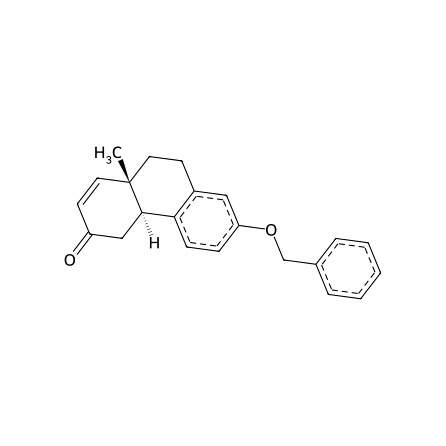 C[C@]12C=CC(=O)C[C@@H]1c1ccc(OCc3ccccc3)cc1CC2